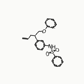 C=CCC(COc1[c]cccc1)c1cccc(NS(=O)(=O)c2ccccc2)c1